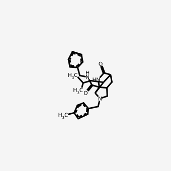 Cc1ccc(CN2CC3CC4C(=O)NC3(C(=O)NCc3ccccc3)C2C4CC(C)C)cc1